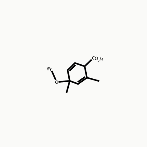 CC1=CC(C)(OC(C)C)C=CC1C(=O)O